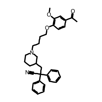 COc1cc(C(C)=O)ccc1OCCCCN1CCCC(CC(C#N)(c2ccccc2)c2ccccc2)C1